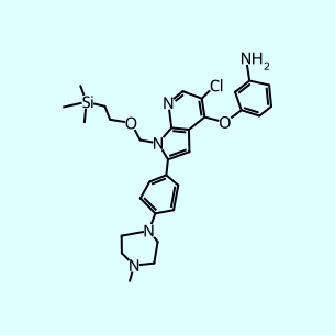 CN1CCN(c2ccc(-c3cc4c(Oc5cccc(N)c5)c(Cl)cnc4n3COCC[Si](C)(C)C)cc2)CC1